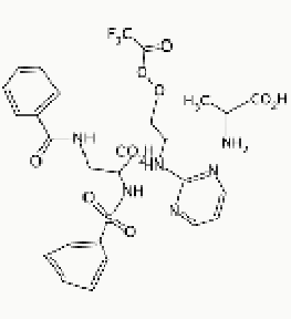 CC(N)C(=O)O.O=C(NCC(NS(=O)(=O)c1ccccc1)C(=O)O)c1ccccc1.O=C(OOCCNc1ncccn1)C(F)(F)F